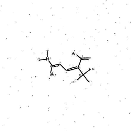 C=C(Br)/C(=C\C=C(/C(C)CC)N(C)C)C(C)(F)F